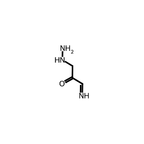 N=CC(=O)CNN